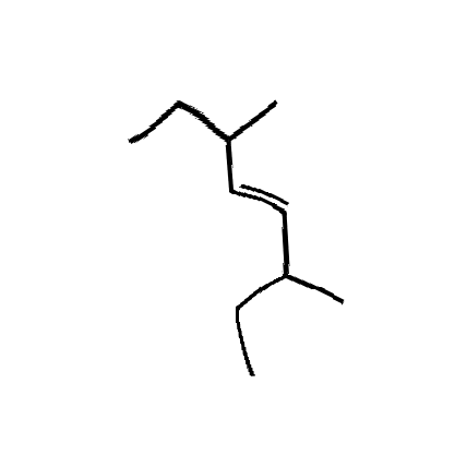 CCC(C)C=CC(C)CC